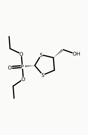 CCOP(=O)(OCC)[C@H]1SC[C@@H](CO)S1